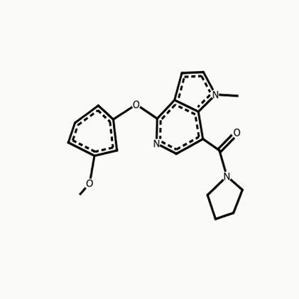 COc1cccc(Oc2ncc(C(=O)N3CCCC3)c3c2ccn3C)c1